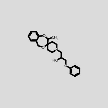 CC1Oc2ccccc2COC12CCN(CC(O)COc1ccccc1)CC2